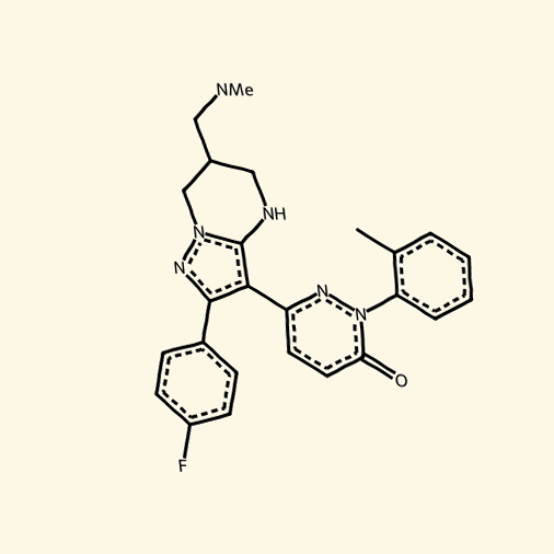 CNCC1CNc2c(-c3ccc(=O)n(-c4ccccc4C)n3)c(-c3ccc(F)cc3)nn2C1